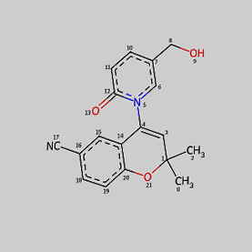 CC1(C)C=C(n2cc(CO)ccc2=O)c2cc(C#N)ccc2O1